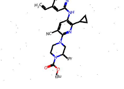 C=Cc1ccnc(Nc2cc(C#N)c(N3CCN(C(=O)OC(C)(C)C)C(C(C)C)C3)nc2C2CC2)c1